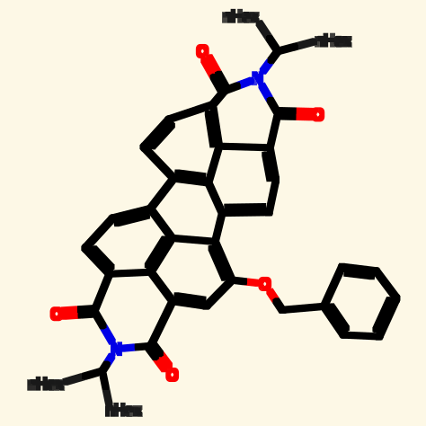 CCCCCCC(CCCCCC)N1C(=O)c2ccc3c4ccc5c6c(cc(OCc7ccccc7)c(c7ccc(c2c37)C1=O)c64)C(=O)N(C(CCCCCC)CCCCCC)C5=O